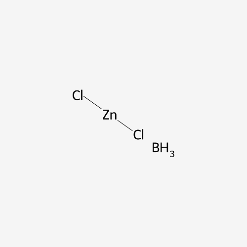 B.[Cl][Zn][Cl]